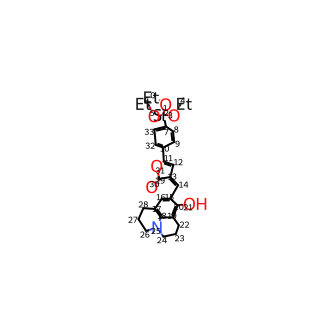 CCO[Si](OCC)(OCC)c1ccc(C2=C/C(=C/c3cc4c5c(c3O)CCCN5CCC4)C(=O)O2)cc1